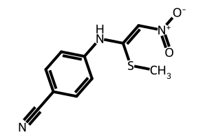 CSC(=C[N+](=O)[O-])Nc1ccc(C#N)cc1